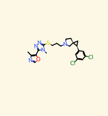 Cc1ncoc1-c1nnc(SCCCN2CC[C@]3(C[C@H]3c3cc(Cl)cc(Cl)c3)C2)n1C